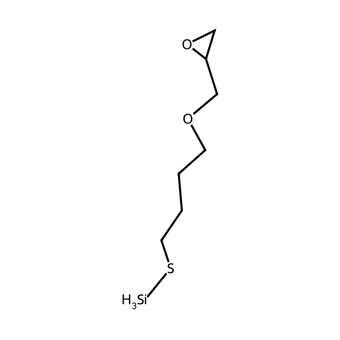 [SiH3]SCCCCOCC1CO1